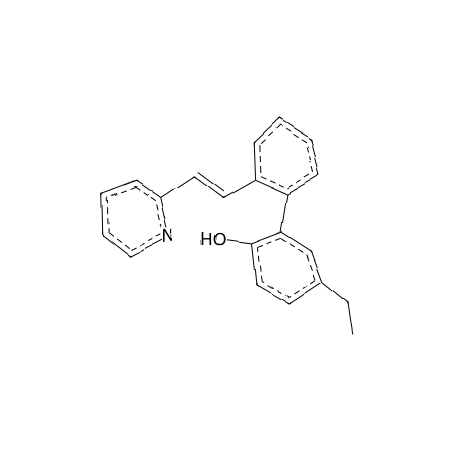 CCc1ccc(O)c(-c2ccccc2/C=C/c2ccccn2)c1